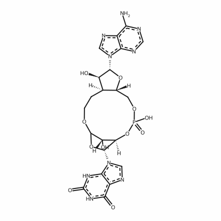 Nc1ncnc2c1ncn2[C@@H]1O[C@@H]2COP(=O)(O)O[C@@H]3[C@H](O)C(OCC[C@H]2[C@H]1O)O[C@H]3n1cnc2c(=O)[nH]c(=O)[nH]c21